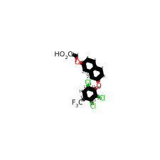 O=C(O)COc1ccc2ccc(Oc3c(Cl)cc(C(F)(F)F)c(Cl)c3Cl)cc2c1